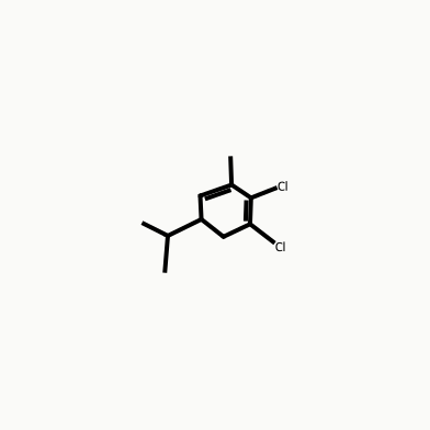 C[C](C)C1C=C(C)C(Cl)=C(Cl)C1